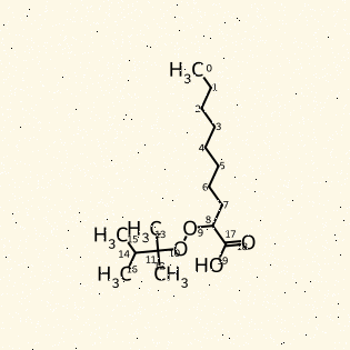 CCCCCCCCC(OOC(C)(C)C(C)C)C(=O)O